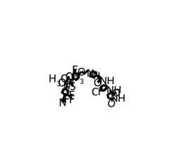 CC1(C)C(=O)N(c2ccc(C#N)c(C(F)(F)F)c2)C(=S)N1c1ccc(OCCN2CCN(CC(=O)Nc3cc(Cl)cc(NC4CCC(=O)NC4=O)c3)CC2)c(F)c1